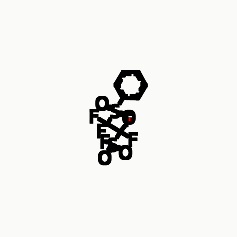 O=S(=O)(F)C(F)(F)C(F)(F)S(=O)(=O)c1ccccc1